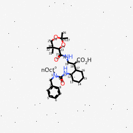 CCCCCCCCN(Cc1ccccc1)C(=O)NC1CCCCC1C(CNC(=O)C1OC(C)(C)OCC1(C)C)C(=O)O